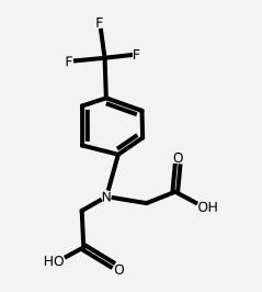 O=C(O)CN(CC(=O)O)c1ccc(C(F)(F)F)cc1